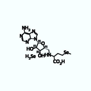 C[Se]CCC(NC[C@H]1O[C@@H](n2cnc3c(N)ncnc32)[C@H](O)[C@@H]1O)C(=O)O.[SeH2]